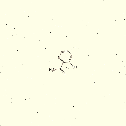 NC(=S)c1ncccc1S